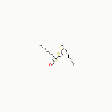 CCCCCCCCc1ccsc1-c1ccc(-c2sc(C=O)cc2CCCCCCCC)s1